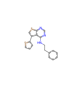 c1ccc(CCNc2ncnc3scc(-c4cccs4)c23)cc1